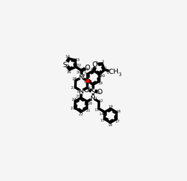 Cc1coc2ccc(S(=O)(=O)N(CCc3ccccc3)c3ccccc3N3CCN(C(=O)c4ccsc4)CC3)cc12